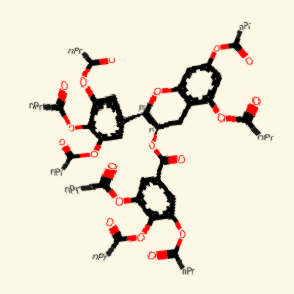 CCCC(=O)Oc1cc(OC(=O)CCC)c2c(c1)O[C@H](c1cc(OC(=O)CCC)c(OC(=O)CCC)c(OC(=O)CCC)c1)[C@H](OC(=O)c1cc(OC(=O)CCC)c(OC(=O)CCC)c(OC(=O)CCC)c1)C2